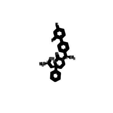 C[C@H](O)C[C@]1(c2ccccc2)CCN([C@@H](C)c2ccc(-c3ccc(F)cc3F)cc2)C(=O)O1